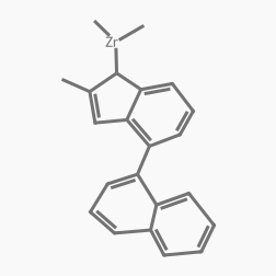 CC1=Cc2c(-c3cccc4ccccc34)cccc2[CH]1[Zr]([CH3])[CH3]